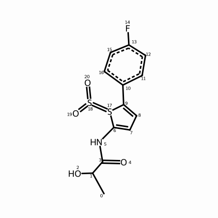 CC(O)C(=O)NC1=CC=C(c2ccc(F)cc2)S1=S(=O)=O